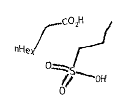 CCCCCCCC(=O)O.CCCS(=O)(=O)O